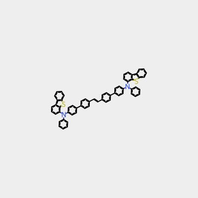 C(=C\c1ccc(-c2ccc(N(c3ccccc3)c3cccc4c3sc3ccccc34)cc2)cc1)/c1ccc(-c2ccc(N(c3ccccc3)c3cccc4c3sc3ccccc34)cc2)cc1